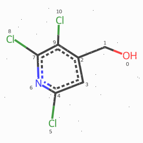 OCc1cc(Cl)nc(Cl)c1Cl